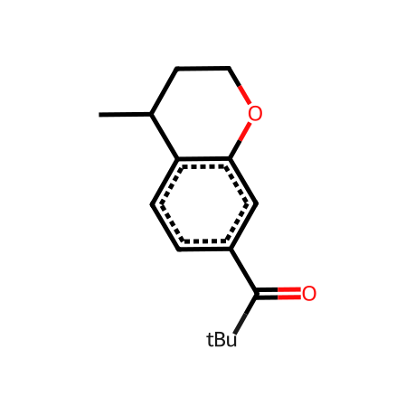 CC1CCOc2cc(C(=O)C(C)(C)C)ccc21